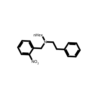 CCCCCCN(CCc1ccccc1)Cc1ccccc1[N+](=O)[O-]